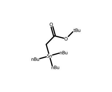 CCC[CH2][Sn]([CH2]CCC)([CH2]CCC)[CH2]C(=O)OC(C)(C)C